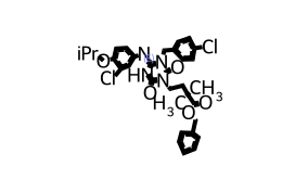 CC(C)Oc1ccc(/N=c2\[nH]c(=O)n(CCC(C)(C)C(=O)OCc3ccccc3)c(=O)n2Cc2ccc(Cl)cc2)cc1Cl